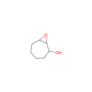 OC1CCCCC2OC12